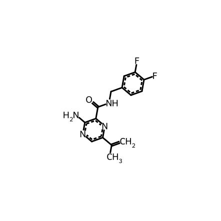 C=C(C)c1cnc(N)c(C(=O)NCc2ccc(F)c(F)c2)n1